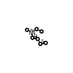 c1ccc(-c2cccc(-c3nc(-c4ccccc4)nc(-c4cccc5c4oc4ccc(-c6cccc7c6sc6ccccc67)cc45)n3)c2)cc1